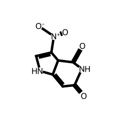 O=C1C=C2NC=C([N+](=O)[O-])C2C(=O)N1